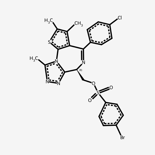 Cc1sc2c(c1C)C(c1ccc(Cl)cc1)=N[C@@H](COS(=O)(=O)c1ccc(Br)cc1)c1nnc(C)n1-2